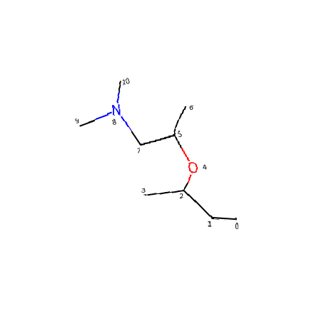 CCC(C)OC(C)CN(C)C